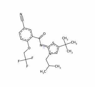 CC(C)Cn1cc(C(C)(C)C)s/c1=N\C(=O)c1cc(C#N)ccc1OCC(F)(F)F